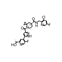 C[C@@H](O)c1cc(-c2cc(C(=O)N3CC[C@H](C(=O)NCc4ncc(F)cc4Cl)CC34CC4)n[nH]2)c(F)cn1